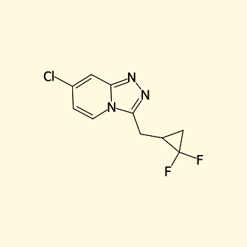 FC1(F)CC1Cc1nnc2cc(Cl)ccn12